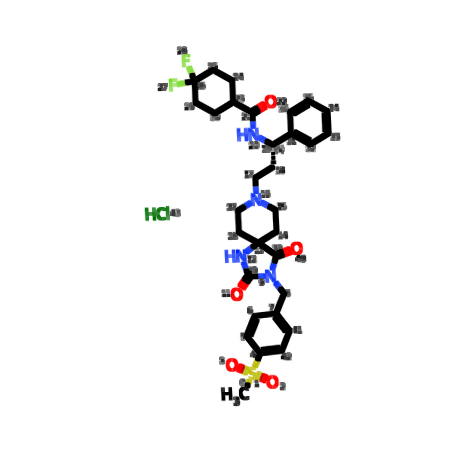 CS(=O)(=O)c1ccc(CN2C(=O)NC3(CCN(CC[C@H](NC(=O)C4CCC(F)(F)CC4)c4ccccc4)CC3)C2=O)cc1.Cl